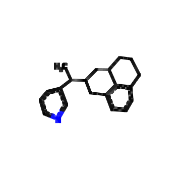 CC(c1cccnc1)C1Cc2cccc3c2C(CCC3)C1